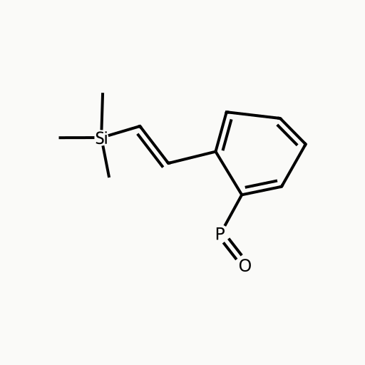 C[Si](C)(C)C=Cc1ccccc1P=O